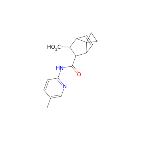 Cc1ccc(NC(=O)C2C(C(=O)O)C3C=CC2C32CC2)nc1